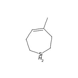 CC1=CCC[SiH2]CC1